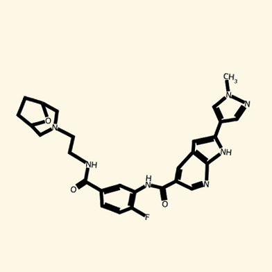 Cn1cc(-c2cc3cc(C(=O)Nc4cc(C(=O)NCCN5CC6CCC(C5)O6)ccc4F)cnc3[nH]2)cn1